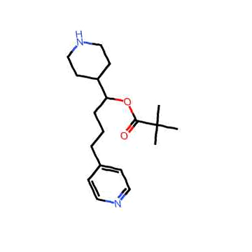 CC(C)(C)C(=O)OC(CCCc1ccncc1)C1CCNCC1